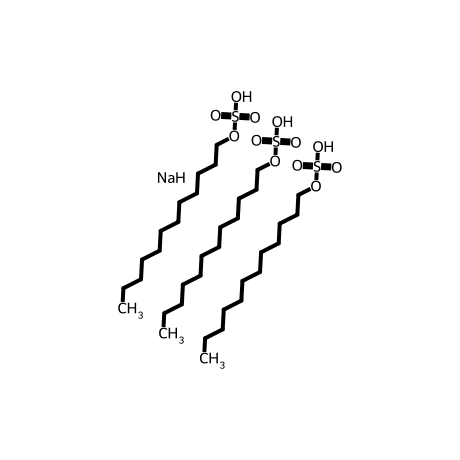 CCCCCCCCCCCCOS(=O)(=O)O.CCCCCCCCCCCCOS(=O)(=O)O.CCCCCCCCCCCCOS(=O)(=O)O.[NaH]